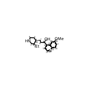 CC[C@H]1CNCC[C@H]1CC[C@@H](O)c1ccnc2ccc(OC)cc12